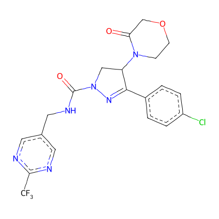 O=C(NCc1cnc(C(F)(F)F)nc1)N1CC(N2CCOCC2=O)C(c2ccc(Cl)cc2)=N1